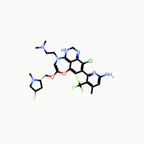 Cc1cc(N)nc(-c2cc3c4c(c2Cl)=NCNC=4N(CCN(C)C)C=C(OC[C@@H]2C[C@@H](F)CN2C)O3)c1C(F)(F)F